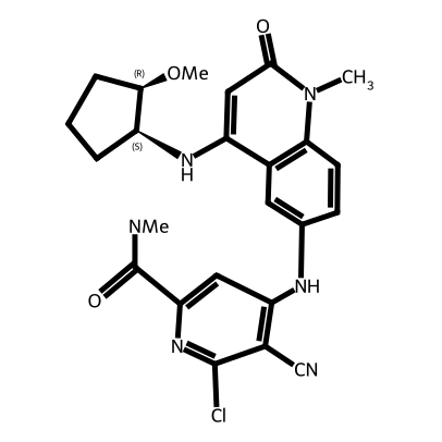 CNC(=O)c1cc(Nc2ccc3c(c2)c(N[C@H]2CCC[C@H]2OC)cc(=O)n3C)c(C#N)c(Cl)n1